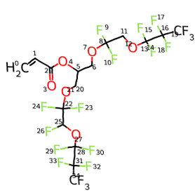 C=CC(=O)OC(COC(F)(F)COC(F)(F)C(F)(F)C(F)(F)F)COC(F)(F)C(F)OC(F)(F)C(F)(F)C(F)(F)F